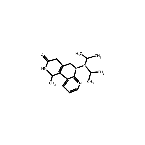 CC1NC(=O)CC2=C1c1cccnc1N(N(C(C)C)C(C)C)C2